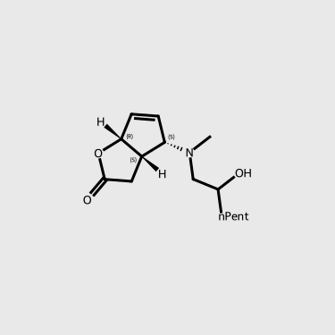 CCCCCC(O)CN(C)[C@H]1C=C[C@H]2OC(=O)C[C@H]21